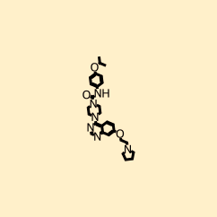 CC(C)Oc1ccc(NC(=O)N2CCN(c3ncnc4cc(OCCN5CCCC5)ccc34)CC2)cc1